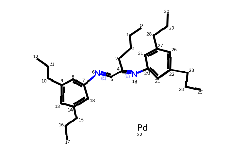 CCCCC(/C=N/c1cc(CCC)cc(CCC)c1)=N\c1cc(CCC)cc(CCC)c1.[Pd]